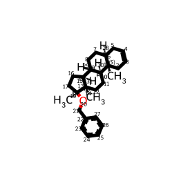 C[C@]12CC=CC[C@@H]1CC[C@@H]1[C@@H]2CC[C@@]2(C)[C@H]1CC[C@]2(C)OCc1ccccc1